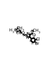 COC(=O)c1nn(COCC[Si](C)(C)C)nc1-c1ccc(Br)c(Cl)c1